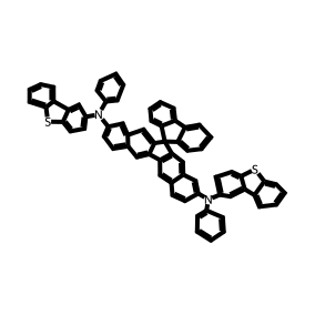 c1ccc(N(c2ccc3cc4c(cc3c2)C2(c3ccccc3-c3ccccc32)c2cc3cc(N(c5ccccc5)c5ccc6sc7ccccc7c6c5)ccc3cc2-4)c2ccc3sc4ccccc4c3c2)cc1